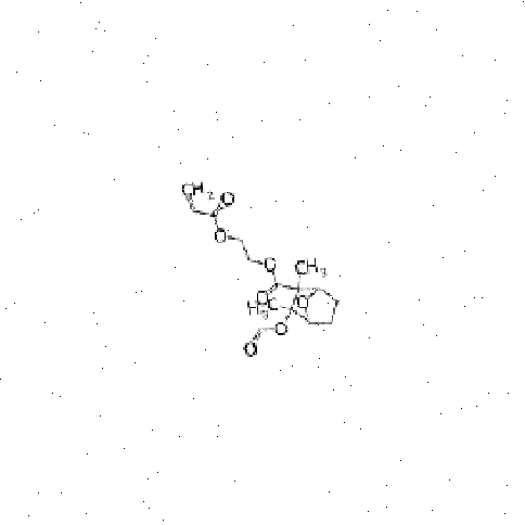 C=CC(=O)OCCOC(=O)C1(C)C2CCC(O2)C1(C)OC=O